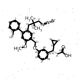 COc1cc(-c2ccccc2F)c(CC(C)(C)CN=[N+]=[N-])cc1COc1cccc([C@@H](CC(=O)O)C2CC2)c1